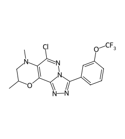 CC1CN(C)c2c(Cl)nn3c(-c4cccc(OC(F)(F)F)c4)nnc3c2O1